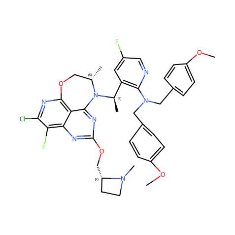 COc1ccc(CN(Cc2ccc(OC)cc2)c2ncc(F)cc2[C@@H](C)N2c3nc(OC[C@H]4CCN4C)nc4c(F)c(Cl)nc(c34)OC[C@@H]2C)cc1